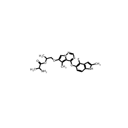 Cc1cc2c(F)c(Oc3ncnn4cc(OCC(C)OC(=O)C(C)N)c(C)c34)ccc2[nH]1